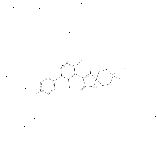 COC1(C)CCC2(CC1)NC(=O)C(c1c(C)ccc(-c3ccc(Cl)cc3)c1C)=C2O